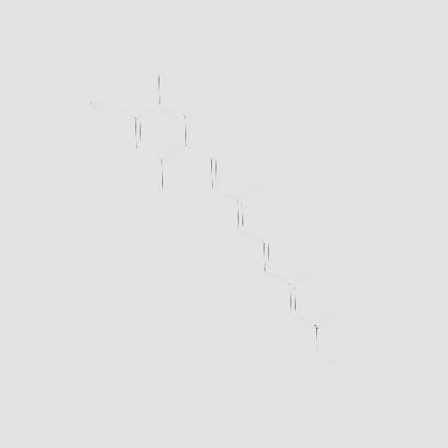 CCCCOC(=O)/C=C(C)/C=C/C=C(C)/C=C/c1c(C)c(C)c(OC)c(C)c1C